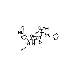 C#CCON=C(C(=O)NC1C(=O)N2CC(CSC=Cc3cccnc3)(C(=O)O)CS[C@H]12)c1csc(NC=O)n1